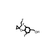 OCc1cc(F)c(OC2(CCF)CC2)c(F)c1